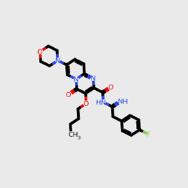 CCCCOc1c(C(=O)NC(=N)Cc2ccc(F)cc2)nc2ccc(N3CCOCC3)cn2c1=O